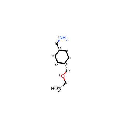 NC[C@H]1CC[C@H](COCC(=O)O)CC1